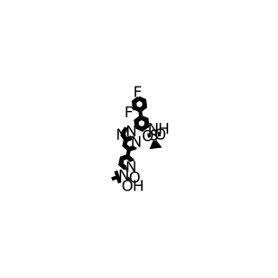 CC(C)(C)N(C(=O)O)c1ccc(-c2cnc3c(c2)ncn3-c2cc(NS(=O)(=O)C3CC3)cc(-c3ccc(F)cc3F)c2)cn1